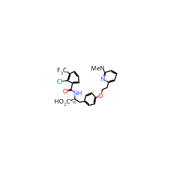 CNc1cccc(CCOc2ccc(C[C@H](NC(=O)c3cccc(C(F)(F)F)c3Cl)C(=O)O)cc2)n1